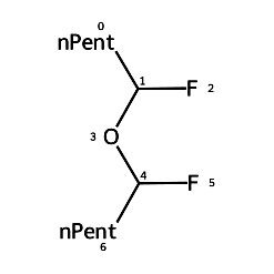 CCCCCC(F)OC(F)CCCCC